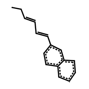 CC/C=C/C=C/c1ccc2c[c]ccc2c1